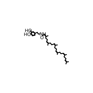 CC(C)=CCCC(C)=CCCC(C)=CCCC(C)=CCCC(C)=CCCC(C)=CC(=O)NCCc1ccc(O)c(O)c1